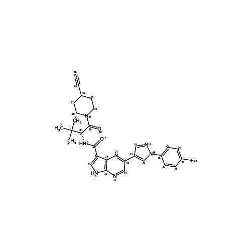 CC(C)(C)[C@@H](NC(=O)c1c[nH]c2ncc(-c3cnn(-c4ccc(F)cc4)c3)nc12)C(=O)N1CCC(C#N)CC1